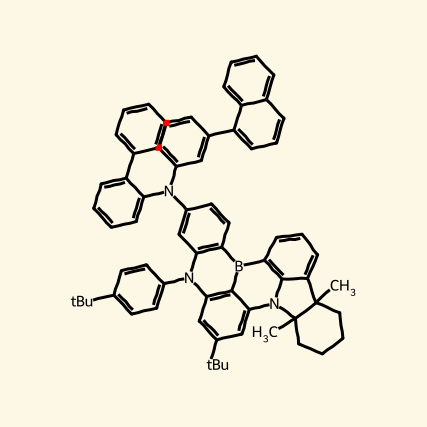 CC(C)(C)c1ccc(N2c3cc(N(c4cccc(-c5cccc6ccccc56)c4)c4ccccc4-c4ccccc4)ccc3B3c4cccc5c4N(c4cc(C(C)(C)C)cc2c43)C2(C)CCCCC52C)cc1